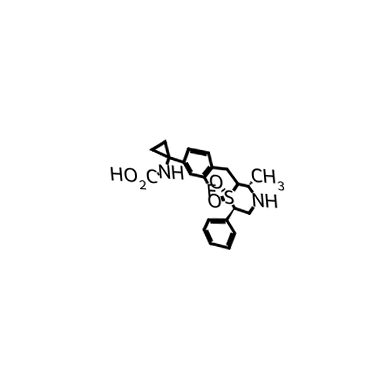 C[C@@H]1NC[C@@H](c2ccccc2)S(=O)(=O)C1Cc1ccc(C2(NC(=O)O)CC2)cc1F